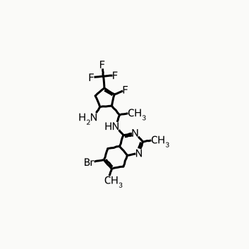 CC1=NC2CC(C)=C(Br)CC2C(NC(C)C2C(F)=C(C(F)(F)F)CC2N)=N1